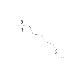 C#CCOCCCS(=O)(=O)[O-].[Na+]